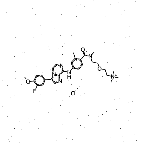 COc1ccc(-c2cnc3c(Nc4ccc(C(=O)N(C)CCOCC[N+](C)(C)C)c(C)c4)nccn23)cc1F.[Cl-]